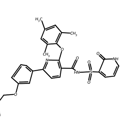 Cc1cc(C)c(Oc2nc(-c3cccc(OCC4CC4)c3)ccc2C(=O)NS(=O)(=O)c2ccc[nH]c2=O)c(C)c1